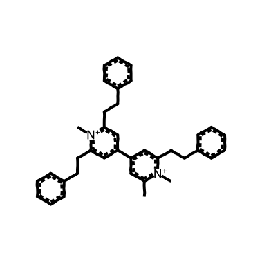 Cc1cc(-c2cc(CCc3ccccc3)[n+](C)c(CCc3ccccc3)c2)cc(CCc2ccccc2)[n+]1C